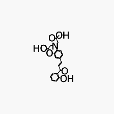 O=C(O)CN(CC(=O)O)c1ccc(C=CC(=O)c2ccccc2O)cc1